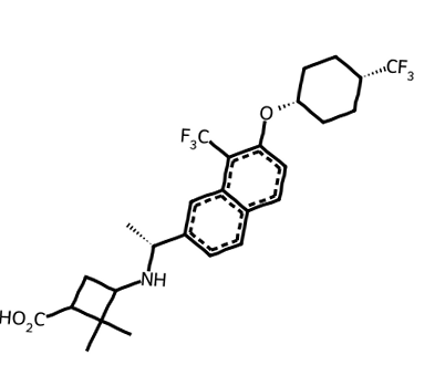 C[C@@H](NC1CC(C(=O)O)C1(C)C)c1ccc2ccc(O[C@H]3CC[C@@H](C(F)(F)F)CC3)c(C(F)(F)F)c2c1